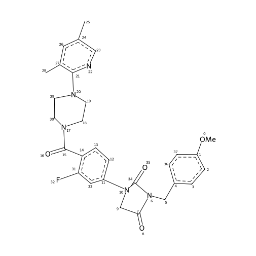 COc1ccc(CN2C(=O)CN(c3ccc(C(=O)N4CCN(c5ncc(C)cc5C)CC4)c(F)c3)C2=O)cc1